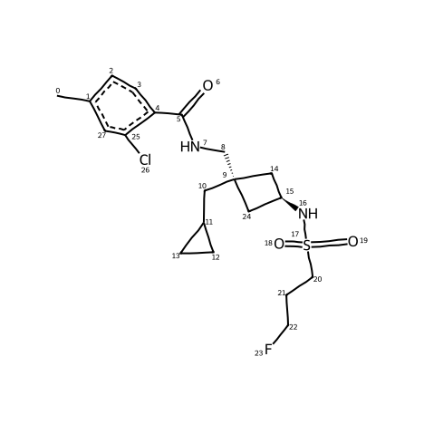 Cc1ccc(C(=O)NC[C@]2(CC3CC3)C[C@@H](NS(=O)(=O)CCCF)C2)c(Cl)c1